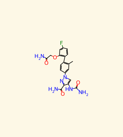 Cc1cc(-n2cc(NC(N)=O)c(C(N)=O)n2)ccc1-c1ccc(F)cc1OCC(N)=O